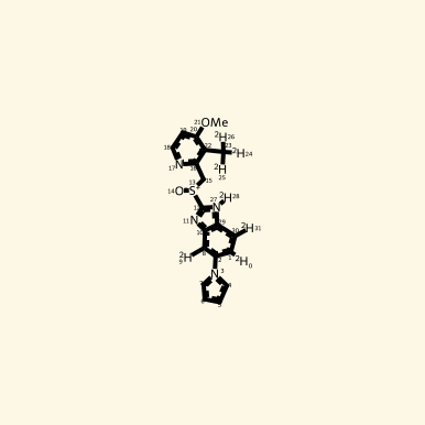 [2H]c1c(-n2cccc2)c([2H])c2nc([S+]([O-])Cc3nccc(OC)c3C([2H])([2H])[2H])n([2H])c2c1[2H]